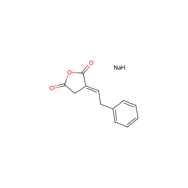 O=C1CC(=CCc2ccccc2)C(=O)O1.[NaH]